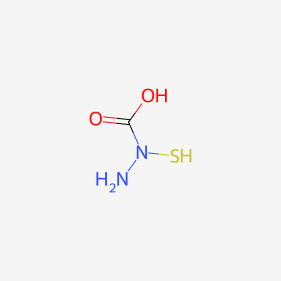 NN(S)C(=O)O